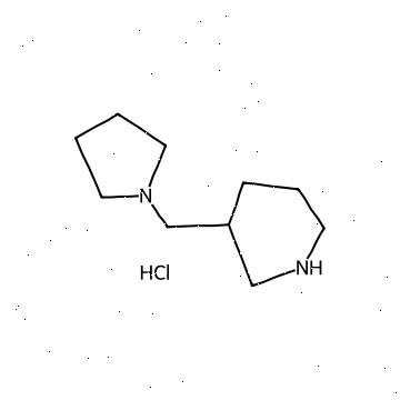 C1CNCC(CN2CCCC2)C1.Cl